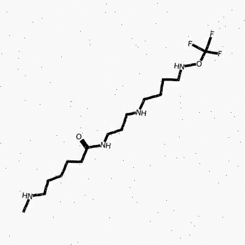 CNCCCCCC(=O)NCCCNCCCCNOC(F)(F)F